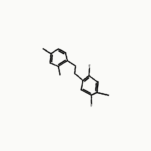 Cc1ccc(CCc2cc(F)c(C)cc2F)c(C)c1